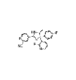 C[C@@H]1NC(c2ccnc(C#N)c2)=N[C@]1(c1ccc(F)cc1)c1cccnc1F